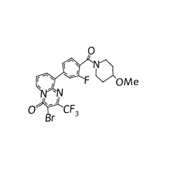 COC1CCN(C(=O)c2ccc(-c3cccn4c(=O)c(Br)c(C(F)(F)F)nc34)cc2F)CC1